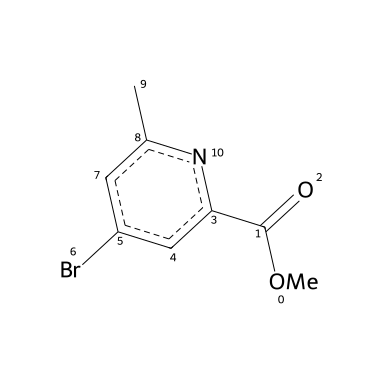 COC(=O)c1cc(Br)cc(C)n1